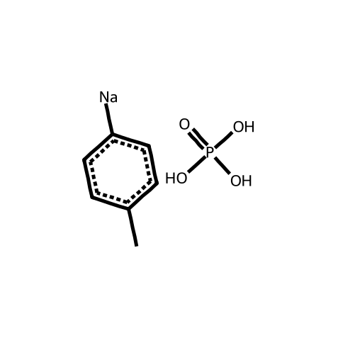 Cc1cc[c]([Na])cc1.O=P(O)(O)O